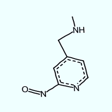 CNCc1ccnc(N=O)c1